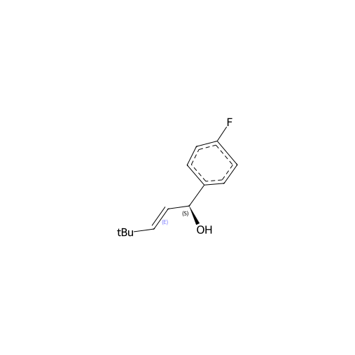 CC(C)(C)/C=C/[C@H](O)c1ccc(F)cc1